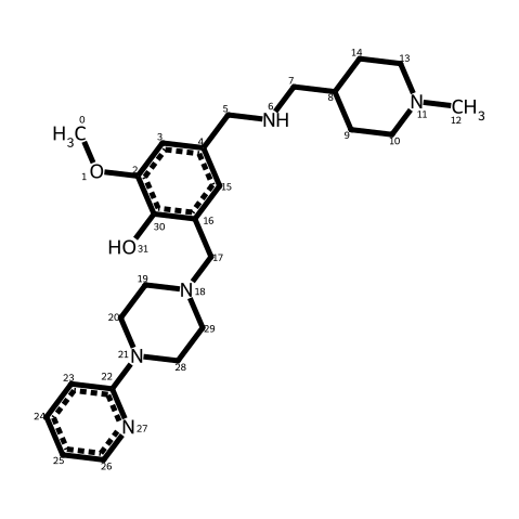 COc1cc(CNCC2CCN(C)CC2)cc(CN2CCN(c3ccccn3)CC2)c1O